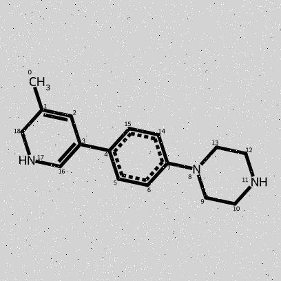 CC1=CC(c2ccc(N3CCNCC3)cc2)=CNC1